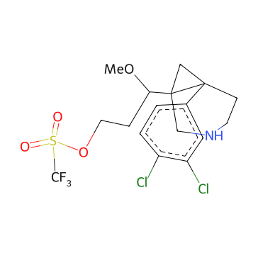 COC(CCOS(=O)(=O)C(F)(F)F)C12CNCCC1(c1ccc(Cl)c(Cl)c1)C2